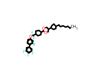 CCCCCCCC1CCC(C2COC(C3CCC(C(F)(F)Oc4ccc(-c5cc(F)c(F)c(F)c5)c(F)c4)CC3)OC2)CC1